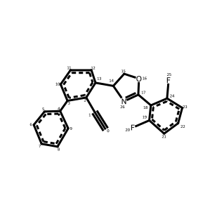 C#Cc1c(-c2ccccc2)cccc1C1COC(c2c(F)cccc2F)=N1